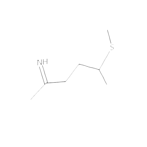 CSC(C)CCC(C)=N